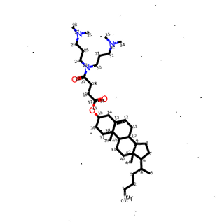 CC(C)CCCC(C)C1CCC2C3CC=C4CC(OC(=O)CCC(=O)N(CCCN(C)C)CCCN(C)C)CCC4(C)C3CCC12C